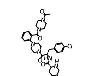 CC(=O)N1CCN(C(=O)c2ccccc2N2CCN(C(=O)[C@@H](Cc3ccc(Cl)cc3)NC(=O)[C@@H]3Cc4ccccc4CN3)CC2)CC1